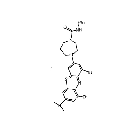 CCc1cc(N(C)C)cc2[s+]c3cc(N4CCCN(C(=O)NC(C)(C)C)CC4)cc(CC)c3nc12.[I-]